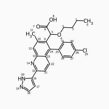 CCCCOC(C(=O)O)c1c(C)cc2nc(-c3ccn[nH]3)ccc2c1-c1ccc(Cl)cc1